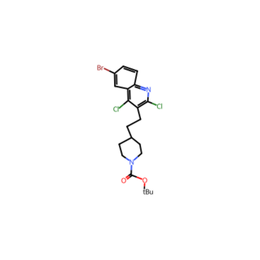 CC(C)(C)OC(=O)N1CCC(CCc2c(Cl)nc3ccc(Br)cc3c2Cl)CC1